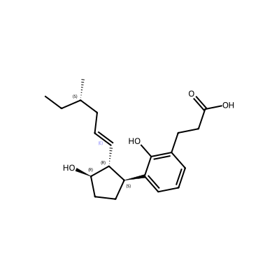 CC[C@H](C)C/C=C/[C@H]1[C@H](O)CC[C@@H]1c1cccc(CCC(=O)O)c1O